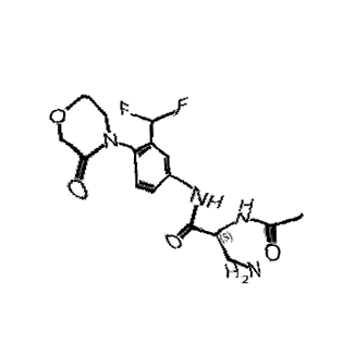 CC(=O)N[C@@H](CN)C(=O)Nc1ccc(N2CCOCC2=O)c(C(F)F)c1